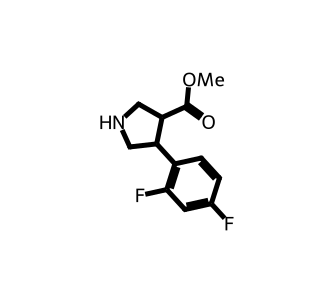 COC(=O)C1CNCC1c1ccc(F)cc1F